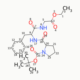 CCOC(=O)CNC(=O)C(Cc1ccccc1)NC(=O)C1CCCN1C(=O)OC(C)(C)C